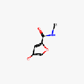 CCNC(=O)c1cc([O])co1